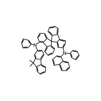 CC1(C)c2ccccc2-c2ccc(N(c3ccccc3)c3cccc4c3-c3ccccc3C43c4ccccc4-c4ccc(N(c5ccccc5)c5cccc6ccccc56)cc43)cc21